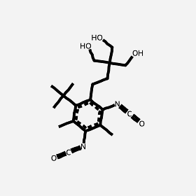 Cc1c(N=C=O)c(C)c(C(C)(C)C)c(CCC(CO)(CO)CO)c1N=C=O